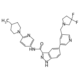 CC1CCN(c2ccc(NC(=O)c3n[nH]c4ccc(-c5cncc(CN6CCC(F)(F)C6)c5)cc34)cn2)CC1